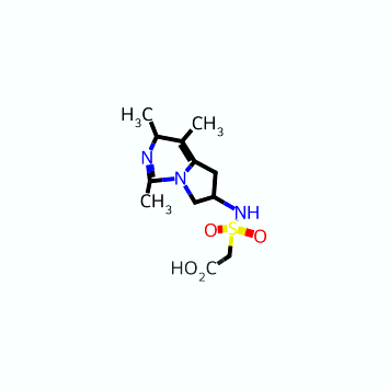 CC1=NC(C)C(C)=C2CC(NS(=O)(=O)CC(=O)O)CN12